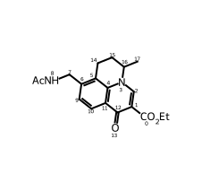 CCOC(=O)c1cn2c3c(c(CNC(C)=O)ccc3c1=O)CCC2C